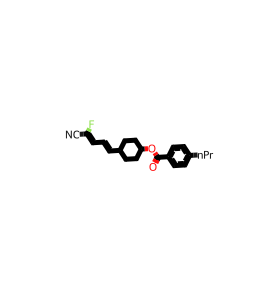 CCCc1ccc(C(=O)OC2CCC(/C=C/C=C(F)C#N)CC2)cc1